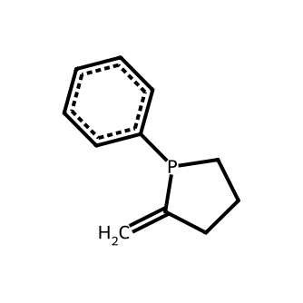 C=C1CCCP1c1ccccc1